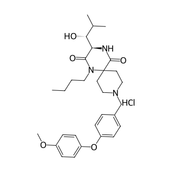 CCCCN1C(=O)[C@@H]([C@H](O)C(C)C)NC(=O)C12CCN(Cc1ccc(Oc3ccc(OC)cc3)cc1)CC2.Cl